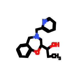 CCC(O)C1CN(Cc2ccccn2)Cc2ccccc2O1